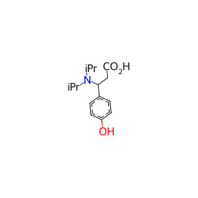 CC(C)N(C(C)C)C(CC(=O)O)c1ccc(O)cc1